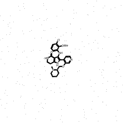 COc1c(Cl)cccc1Nc1c(-c2ccncc2OCC2CCCCN2C)[nH]c2c1C(=O)NCC2